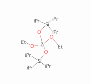 CC[O][Zr]([O]CC)([O][Si](C(C)C)(C(C)C)C(C)C)[O][Si](C(C)C)(C(C)C)C(C)C